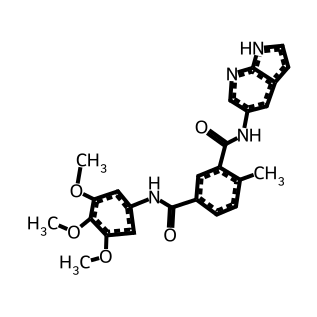 COc1cc(NC(=O)c2ccc(C)c(C(=O)Nc3cnc4[nH]ccc4c3)c2)cc(OC)c1OC